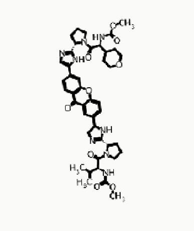 COC(=O)N[C@H](C(=O)N1CCC[C@H]1C1=NCC(c2ccc3oc4cc(-c5cnc([C@@H]6CCCN6C(=O)[C@@H](NC(=O)OC)C6CCOCC6)[nH]5)ccc4c(=O)c3c2)N1)C(C)C